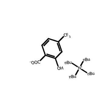 CCCC[N+](CCCC)(CCCC)CCCC.O=C([O-])c1ccc(C(F)(F)F)cc1O